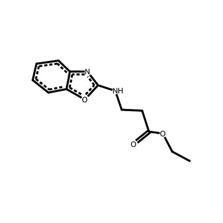 CCOC(=O)CCNc1nc2ccccc2o1